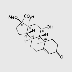 CO[C@]1(C(=O)O)CC[C@H]2[C@@H]3CCC4=CC(=O)CC[C@]4(C)[C@H]3[C@@H](O)C[C@@]21C